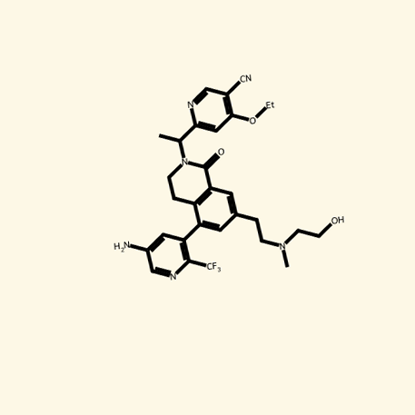 CCOc1cc(C(C)N2CCc3c(cc(CCN(C)CCO)cc3-c3cc(N)cnc3C(F)(F)F)C2=O)ncc1C#N